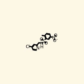 Cc1ccc([N+](=O)[O-])cc1S(=O)(=O)NCc1cc(Cl)ccn1